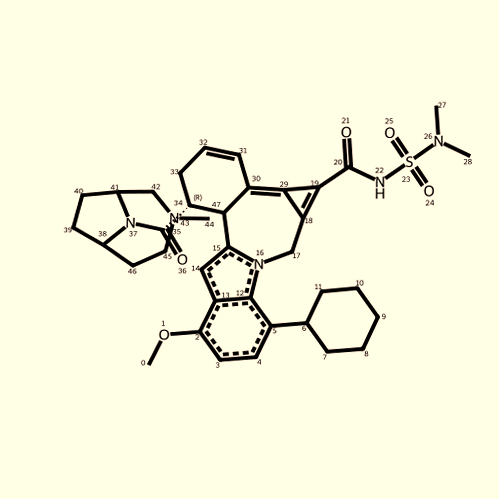 COc1ccc(C2CCCCC2)c2c1cc1n2CC2=C(C(=O)NS(=O)(=O)N(C)C)C2=C2C=CC[C@@H](C(=O)N3C4CCC3CN(C)CC4)C21